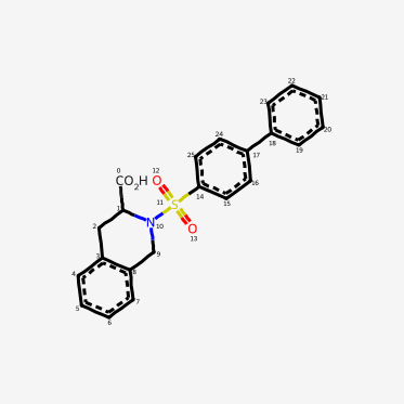 O=C(O)C1Cc2ccccc2CN1S(=O)(=O)c1ccc(-c2ccccc2)cc1